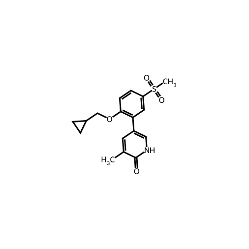 Cc1cc(-c2cc(S(C)(=O)=O)ccc2OCC2CC2)c[nH]c1=O